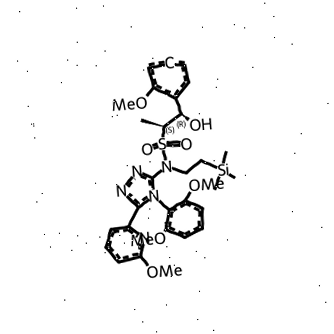 COc1cccc(-c2nnc(N(CC[Si](C)(C)C)S(=O)(=O)[C@@H](C)[C@H](O)c3ccccc3OC)n2-c2c(OC)cccc2OC)n1